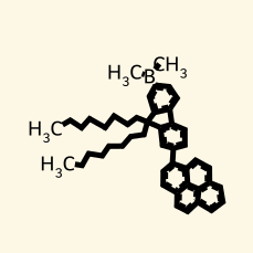 CCCCCCCCC1(CCCCCCCC)c2cc(B(C)C)ccc2-c2ccc(-c3ccc4ccc5cccc6ccc3c4c56)cc21